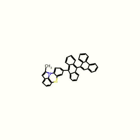 Cc1cc2cccc3c2n1-c1ccc(-c2c4ccccc4c(-c4cc5ccccc5c5ccccc45)c4ccccc24)cc1S3